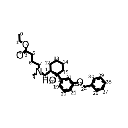 CCOC(=O)CCCN(C)CC1CCCCC1(O)c1cccc(OCc2ccccc2)c1